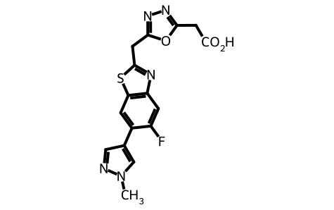 Cn1cc(-c2cc3sc(Cc4nnc(CC(=O)O)o4)nc3cc2F)cn1